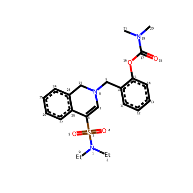 CCN(CC)S(=O)(=O)C1=CN(Cc2ccccc2OC(=O)N(C)C)Cc2ccccc21